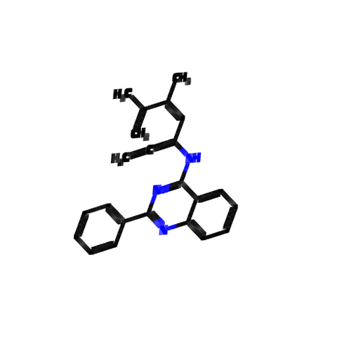 C=C=C(/C=C(/C)C(=C)C)Nc1nc(-c2ccccc2)nc2ccccc12